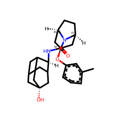 Cc1cccc(O[C@H]2C[C@H]3CC[C@@H](C2)N3C(=O)N[C@H]2C3CC4CC2C[C@](O)(C4)C3)c1